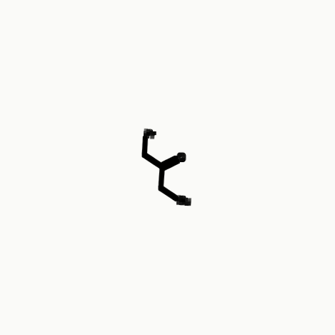 CCC(C)CC(=O)CC(C)C